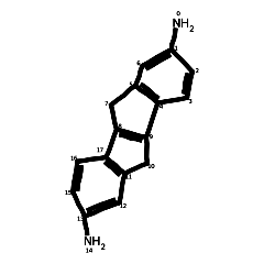 Nc1ccc2c(c1)CC1=C2Cc2cc(N)ccc21